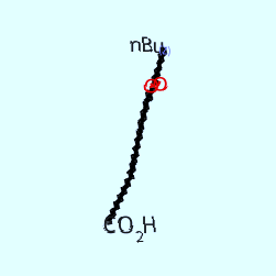 CCCC/C=C\CCCCCCCC(=O)OCCCCCCCCCCCCCCCCCCCCCCCCCCCCCCCCC(=O)O